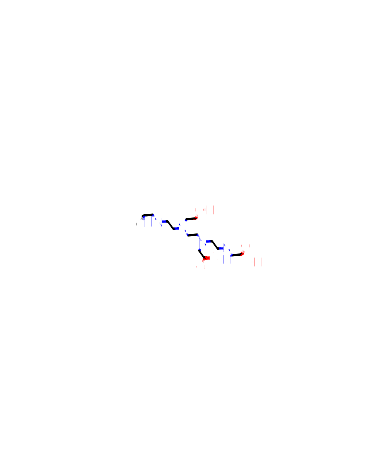 CC(C)CNCCN(CCN(CCNCC(=O)O)CC(=O)O)CC(=O)O